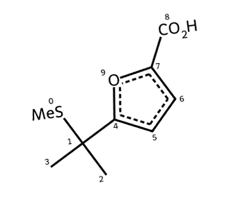 CSC(C)(C)c1ccc(C(=O)O)o1